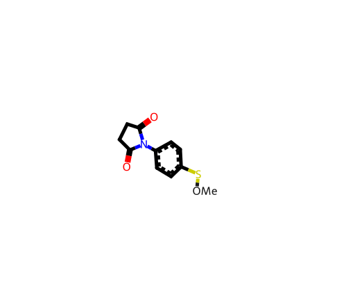 COSc1ccc(N2C(=O)CCC2=O)cc1